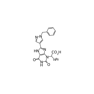 CCCC(C(=O)O)n1c(=O)[nH]c(=O)c2[nH]c(-c3cnn(Cc4ccccc4)c3)nc21